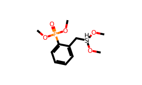 CO[SiH](Cc1ccccc1P(=O)(OC)OC)OC